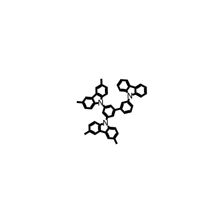 Cc1ccc2c(c1)c1cc(C)ccc1n2-c1cc(-c2cccc(-n3c4ccccc4c4ccccc43)c2)cc(-n2c3ccc(C)cc3c3cc(C)ccc32)c1